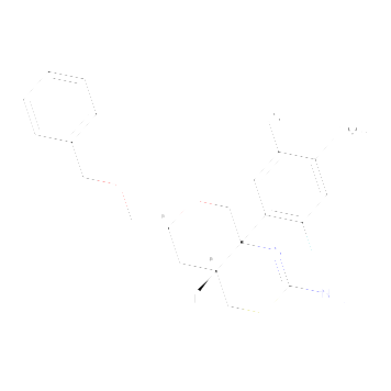 COc1cc(F)c(C23CO[C@@H](COCc4ccccc4)C[C@H]2CSC(N)=N3)cc1C#N